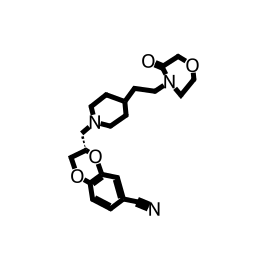 N#Cc1ccc2c(c1)O[C@@H](CN1CCC(CCN3CCOCC3=O)CC1)CO2